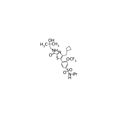 CC(C)NS(=O)(=O)c1ccc(-c2sc(C(=O)NCC(C)(C)O)nc2CC2CCC2)c(OC(F)(F)F)c1